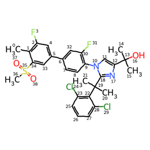 Cc1c(F)cc(-c2ccc(-n3cc(C(C)(C)O)nc3C(C)(C)c3c(Cl)cccc3Cl)c(F)c2)cc1S(C)(=O)=O